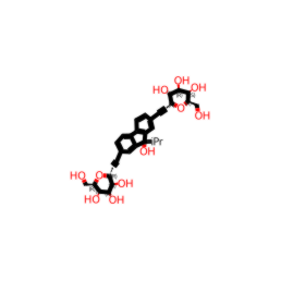 CC(C)C1(O)c2cc(C#C[C@H]3O[C@H](CO)[C@@H](O)[C@H](O)[C@@H]3O)ccc2-c2ccc(C#C[C@H]3O[C@H](CO)[C@@H](O)[C@H](O)[C@@H]3O)cc21